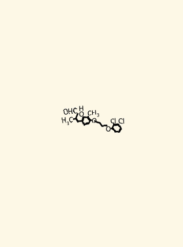 Cc1c(OCCCCOc2cccc(Cl)c2Cl)ccc(CC(C)CC=O)c1O